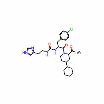 CCCC(=O)C1CC(C2CCCCC2)CCN1C(=O)C(Cc1ccc(Cl)cc1)NC(=O)NCCc1c[nH]cn1